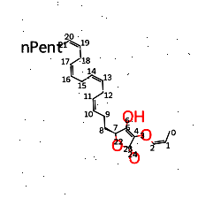 C/C=C\OC1=C(O)[C@H](CC/C=C\C/C=C\C/C=C\C/C=C\CCCCC)OC1=O